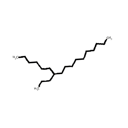 CCCCCCCCCC[C](CCC)CCCCCC